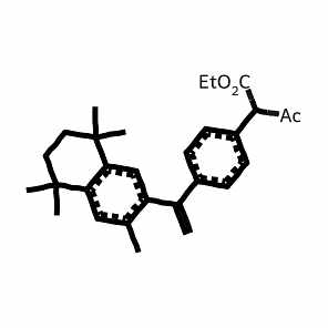 C=C(c1ccc(C(C(C)=O)C(=O)OCC)cc1)c1cc2c(cc1C)C(C)(C)CCC2(C)C